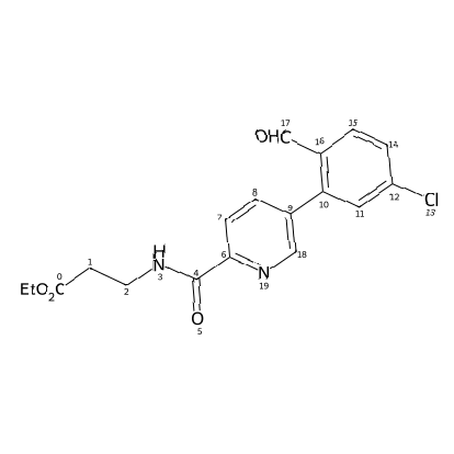 CCOC(=O)CCNC(=O)c1ccc(-c2cc(Cl)ccc2C=O)cn1